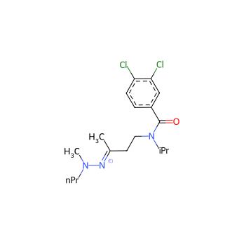 CCCN(C)/N=C(\C)CCN(C(=O)c1ccc(Cl)c(Cl)c1)C(C)C